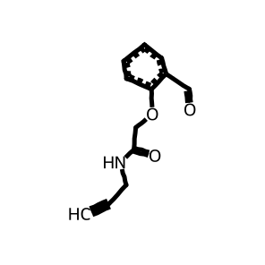 C#CCNC(=O)COc1ccccc1C=O